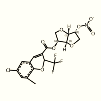 Cc1cc(Cl)cc2c1OC(C(F)(F)F)C(C(=O)O[C@H]1CO[C@H]3[C@@H]1OC[C@H]3O[N+](=O)[O-])=C2